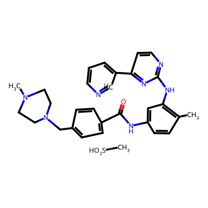 CS(=O)(=O)O.Cc1ccc(NC(=O)c2ccc(CN3CCN(C)CC3)cc2)cc1Nc1nccc(-c2cccn[14cH]2)n1